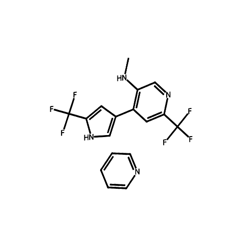 CNc1cnc(C(F)(F)F)cc1-c1c[nH]c(C(F)(F)F)c1.c1ccncc1